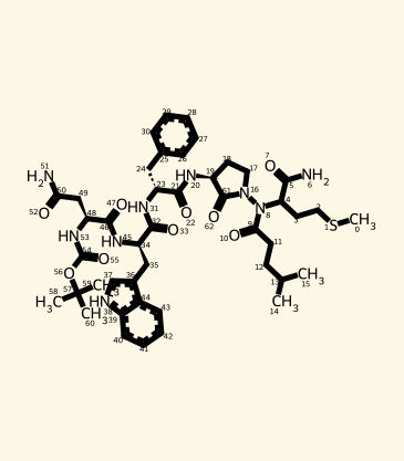 CSCCC(C(N)=O)N(C(=O)CCC(C)C)N1CC[C@H](NC(=O)[C@@H](Cc2ccccc2)NC(=O)[C@@H](Cc2c[nH]c3ccccc23)NC(=O)[C@H](CC(N)=O)NC(=O)OC(C)(C)C)C1=O